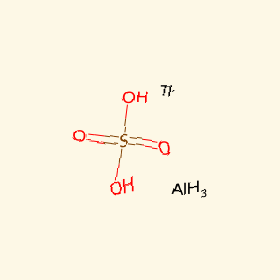 O=S(=O)(O)O.[AlH3].[Tl]